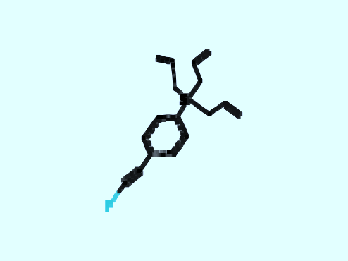 C=CC[Si](CC=C)(CC=C)c1ccc(C#CF)cc1